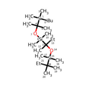 CCC(C)[Si](C)(C)C(C)(C)O[Si](C)(C)C(C)(CC)O[Si](C)(C)C(C)(C)CC